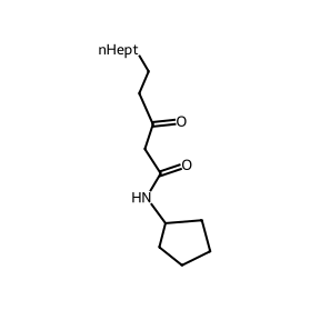 CCCCCCCCCC(=O)CC(=O)NC1CCCC1